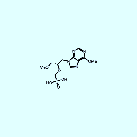 COC[C@H](Cn1cnc2c(OC)ncnc21)OCP(=O)(O)O